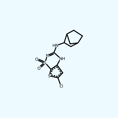 O=S1(=O)N=C(NC2CC3CCC2C3)Nc2cc(Cl)sc21